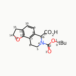 CC(C)(C)OC(=O)N1CCc2c(ccc3c2OCC3)C1C(=O)O